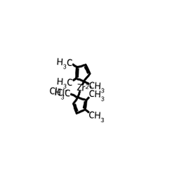 CC1=C(C)[C](C)([Zr+2][C]2(C)C=CC(C)=C2C)C=C1.[Cl-].[Cl-]